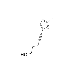 Cc1ccc(C#CCCCO)s1